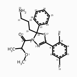 COC(C)C(=O)N1N=C(c2cc(F)ccc2F)SC1(CCCN)c1ccccc1